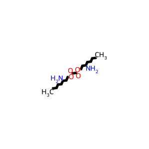 CCCCCC(N)CCOC(=O)C(=O)OCCC(N)CCCCC